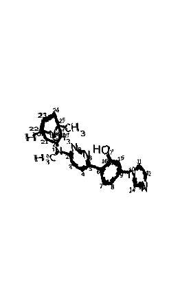 CN(c1ccc(-c2ccc(-n3ccnc3)cc2O)nn1)[C@H]1C[C@@H]2C=C[C@](C)(C1)N2C